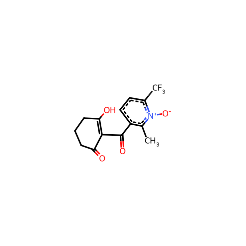 Cc1c(C(=O)C2=C(O)CCCC2=O)ccc(C(F)(F)F)[n+]1[O-]